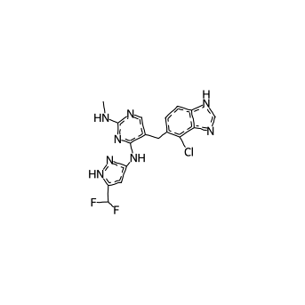 CNc1ncc(Cc2ccc3[nH]cnc3c2Cl)c(Nc2cc(C(F)F)[nH]n2)n1